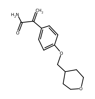 C=C(C(N)=O)c1ccc(OCC2CCOCC2)cc1